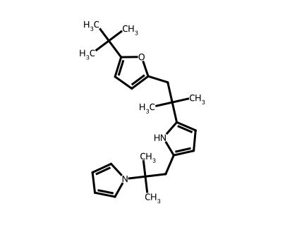 CC(C)(C)c1ccc(CC(C)(C)c2ccc(CC(C)(C)n3cccc3)[nH]2)o1